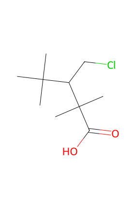 CC(C)(C)C(CCl)C(C)(C)C(=O)O